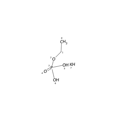 CCOP(=O)(O)O.[KH]